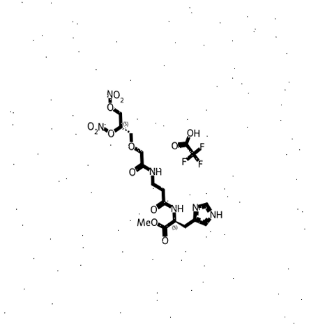 COC(=O)[C@H](Cc1c[nH]cn1)NC(=O)CCNC(=O)COC[C@@H](CO[N+](=O)[O-])O[N+](=O)[O-].O=C(O)C(F)(F)F